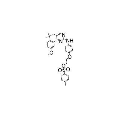 COc1ccc2c(c1)-c1nc(Nc3ccc(OCCOS(=O)(=O)c4ccc(C)cc4)cc3)ncc1CC2(C)C